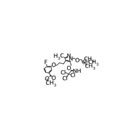 COC(=O)c1ccc(F)c(OCCCc2c(C)nn(COCC[Si](C)(C)C)c2COC(=N)C(Cl)(Cl)Cl)c1